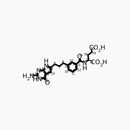 Nc1nc2[nH]c(CCCc3cccc(C(=O)N[C@@H](CCC(=O)O)C(=O)O)c3)cc2c(=O)[nH]1